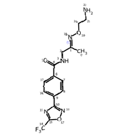 C/C(CNC(=O)c1ccc(-c2noc(C(F)(F)F)n2)cc1)=N\OCCN